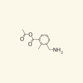 CC(=O)OC(=O)c1cccc(CN)c1C